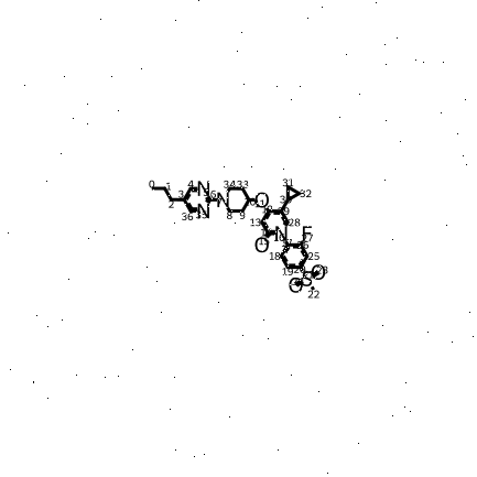 CCCc1cnc(N2CCC(Oc3cc(=O)n(-c4ccc(S(C)(=O)=O)cc4F)cc3C3CC3)CC2)nc1